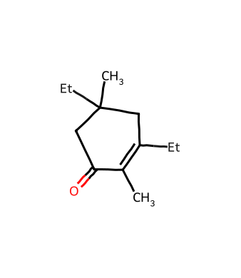 CCC1=C(C)C(=O)CC(C)(CC)C1